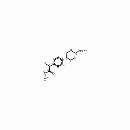 CCCCC[C@H]1CC[C@H](c2ccc(C(C)C(=O)OCCC)cc2)CC1